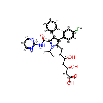 CC(C)n1c(CC[C@@H](O)C[C@@H](O)CC(=O)O)c(-c2ccc(F)cc2)c(-c2ccccc2)c1C(=O)Nc1ncccn1